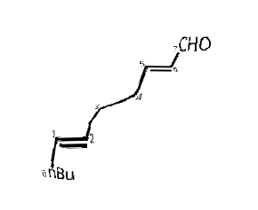 CCCCC=CCCC=CC=O